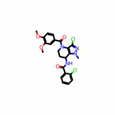 COc1ccc(C(=O)N2CCC(NC(=O)c3ccccc3Cl)c3c2c(Cl)nn3C)cc1OC